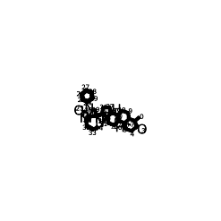 CC1C(=O)CC[C@@]2(C)C1CC[C@@H]1[C@@H]2CC[C@]2(C)C(C3(CN(C(N)=O)c4ccccc4)C=CC=CC=N3)CC[C@@H]12